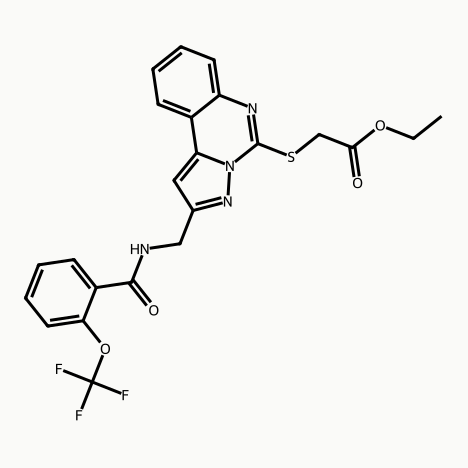 CCOC(=O)CSc1nc2ccccc2c2cc(CNC(=O)c3ccccc3OC(F)(F)F)nn12